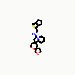 c1ccc(C2(CCNCc3scc4c3CCC4)CCOC3(CCOC3)C2)nc1